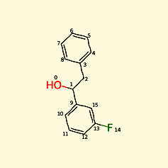 OC(Cc1ccccc1)c1cccc(F)c1